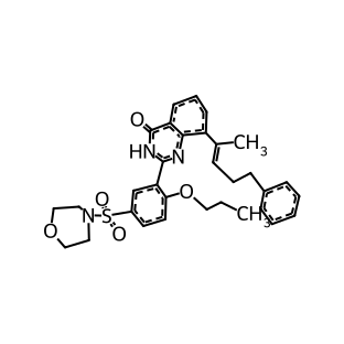 CCCOc1ccc(S(=O)(=O)N2CCOCC2)cc1-c1nc2c(C(C)=CCCc3ccccc3)cccc2c(=O)[nH]1